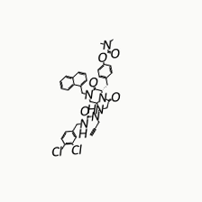 C#CCN(C(=O)NCc1ccc(Cl)c(Cl)c1)N1CC(=O)N2[C@@H](Cc3ccc(OC(=O)N(C)C)cc3)C(=O)N(Cc3cccc4ccccc34)C[C@@H]21